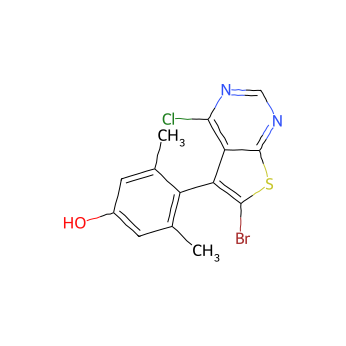 Cc1cc(O)cc(C)c1-c1c(Br)sc2ncnc(Cl)c12